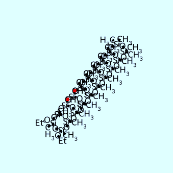 CCO[Si]1(C)O[Si](C)(OCC)O[Si]2(C)O[Si](C)(O1)O[Si]1(C)O[Si](C)(O2)O[Si]2(C)O[Si](C)(O1)O[Si]1(C)O[Si]3(C)O[Si]4(C)O[Si]5(C)O[Si]6(C)O[Si](C)(C)O[Si](C)(C)O[Si](C)(O6)O[Si](C)(O5)O[Si](C)(O4)O[Si](C)(O3)O[Si](C)(O2)O1